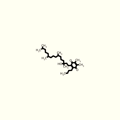 CCCCC1=C(CCC(C)(O)CCCC(C)CCCC(C)CCCC(C)C)C(=O)C(C)=C(C)C1=O